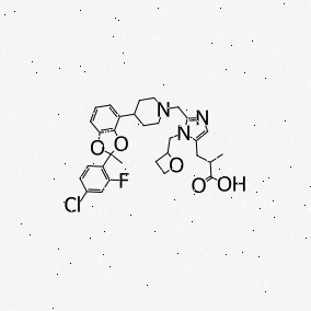 CC(Cc1cnc(CN2CCC(c3cccc4c3OC(C)(c3ccc(Cl)cc3F)O4)CC2)n1CC1CCO1)C(=O)O